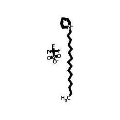 CCCCCCCCCCCCCCCC[n+]1ccccc1.O=S(=O)([O-])C(F)(F)F